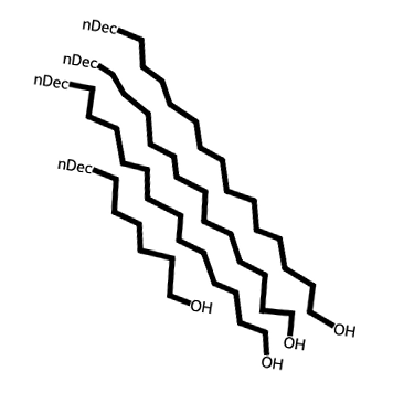 CCCCCCCCCCCCCCCCCCCCCCCCO.CCCCCCCCCCCCCCCCCCCCCCCO.CCCCCCCCCCCCCCCCCCCCCCCO.CCCCCCCCCCCCCCCCO